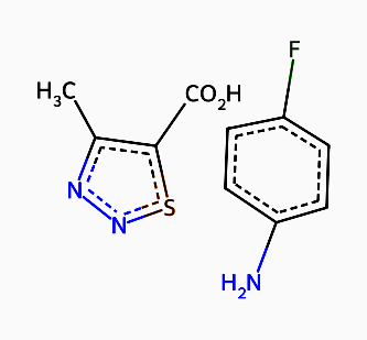 Cc1nnsc1C(=O)O.Nc1ccc(F)cc1